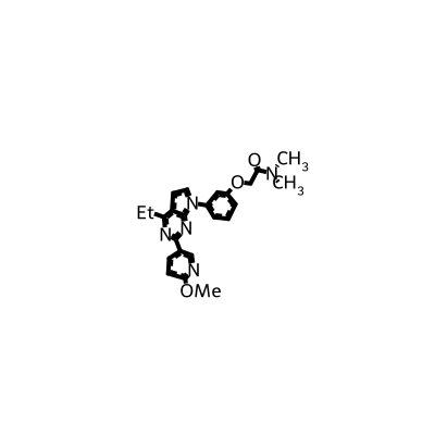 CCc1nc(-c2ccc(OC)nc2)nc2c1ccn2-c1cccc(OCC(=O)N(C)C)c1